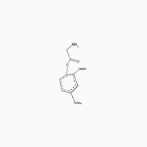 COc1ccc(OC(=O)CN)c(OC)c1